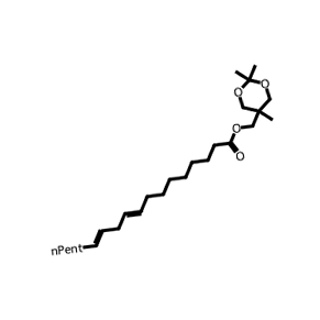 CCCCCC=CCC=CCCCCCCCC(=O)OCC1(C)COC(C)(C)OC1